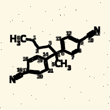 CCCCC(C)(c1ccc(C#N)cc1)c1ccc(C#N)cc1